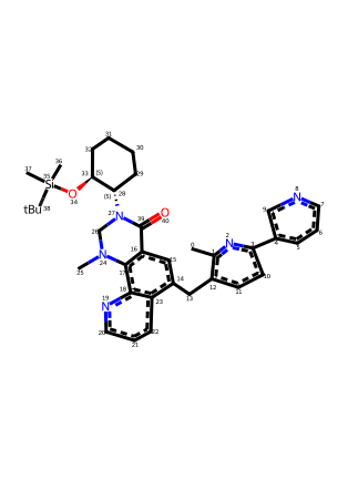 Cc1nc(-c2cccnc2)ccc1Cc1cc2c(c3ncccc13)N(C)CN([C@H]1CCCC[C@@H]1O[Si](C)(C)C(C)(C)C)C2=O